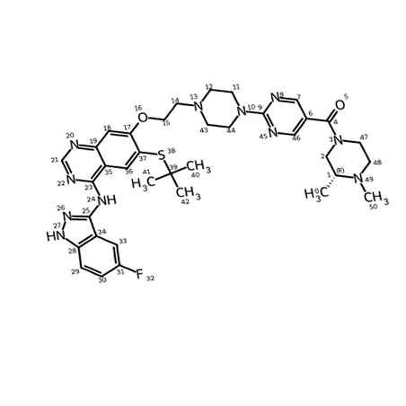 C[C@@H]1CN(C(=O)c2cnc(N3CCN(CCOc4cc5ncnc(Nc6n[nH]c7ccc(F)cc67)c5cc4SC(C)(C)C)CC3)nc2)CCN1C